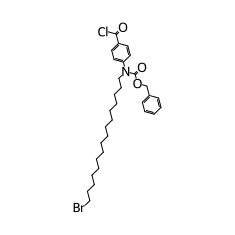 O=C(Cl)c1ccc(N(CCCCCCCCCCCCCCCCBr)C(=O)OCc2ccccc2)cc1